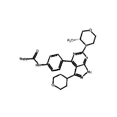 CNC(=O)Nc1ccc(-c2nc(N3CCOC[C@H]3C)nc3[nH]nc(C4CCOCC4)c23)cc1